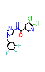 O=C(Nc1cn(Cc2cc(F)c(F)c(F)c2)cn1)c1cnc(Cl)c(Cl)c1